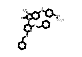 Cn1c(=O)n(-c2ccc(OCc3ccccc3)nc2OCc2ccccc2)c2ccc(Nc3ccc(NC(=O)O)cc3)cc21